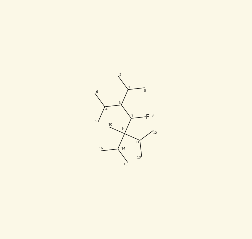 CC(C)C(C(C)C)C(F)C(C)(C(C)C)C(C)C